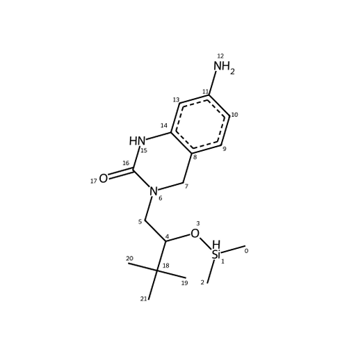 C[SiH](C)OC(CN1Cc2ccc(N)cc2NC1=O)C(C)(C)C